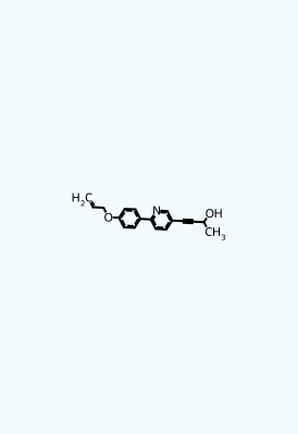 C=CCOc1ccc(-c2ccc(C#CC(C)O)cn2)cc1